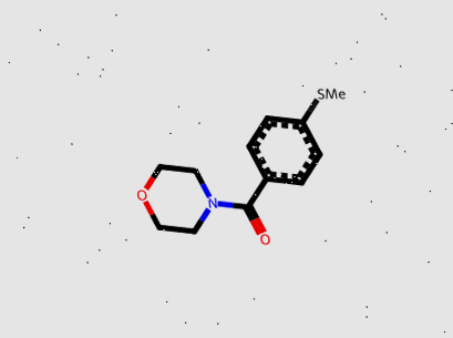 CSc1ccc(C(=O)N2CCOCC2)cc1